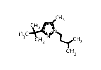 Cc1cc(C(C)(C)C)nn1CCC(C)C